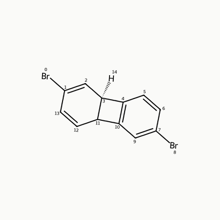 BrC1=C[C@H]2c3ccc(Br)cc3C2C=C1